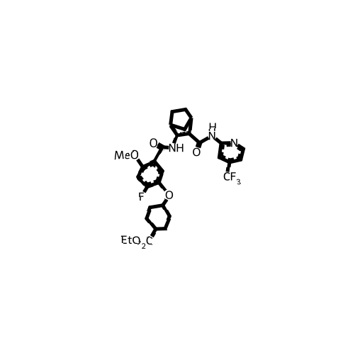 CCOC(=O)C1CCC(Oc2cc(C(=O)NC3C4CCC(C4)C3C(=O)Nc3cc(C(F)(F)F)ccn3)c(OC)cc2F)CC1